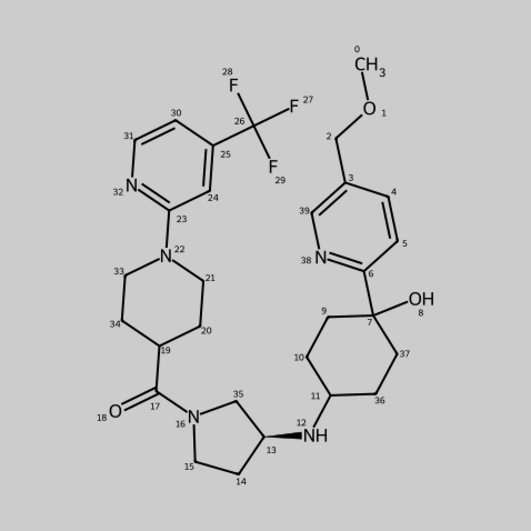 COCc1ccc(C2(O)CCC(N[C@H]3CCN(C(=O)C4CCN(c5cc(C(F)(F)F)ccn5)CC4)C3)CC2)nc1